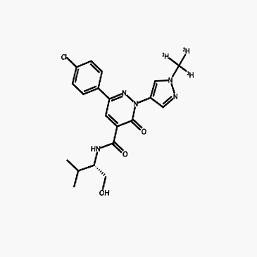 [2H]C([2H])([2H])n1cc(-n2nc(-c3ccc(Cl)cc3)cc(C(=O)N[C@H](CO)C(C)C)c2=O)cn1